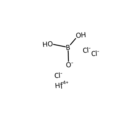 [Cl-].[Cl-].[Cl-].[Hf+4].[O-]B(O)O